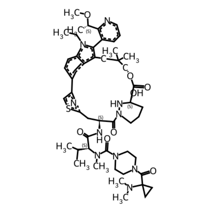 CCn1c(-c2cccnc2[C@H](C)OC)c2c3cc(ccc31)-c1csc(n1)C[C@H](NC(=O)[C@H](C(C)C)N(C)C(=O)N1CCN(C(=O)C3(N(C)C)CC3)CC1)C(=O)N1CCC[C@@](O)(N1)C(=O)OCC(C)(C)C2